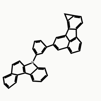 c1cc(-c2cc3c4c(cccc4c2)-c2ccc4c(c2-3)C4)cc(-n2c3ccccc3c3c4ccccc4ccc32)c1